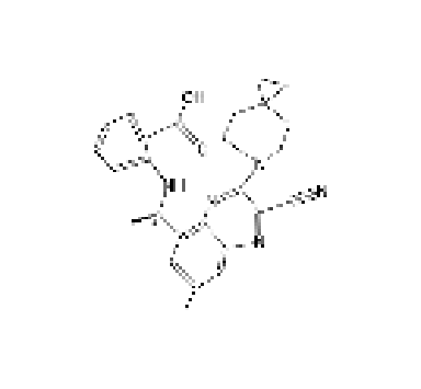 Cc1cc([C@@H](C)Nc2ccccc2C(=O)O)c2nc(N3CCC4(CC3)CC4)c(C#N)nc2c1